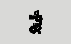 COc1ccc(CNCC(C)c2ccccc2)cc1Br